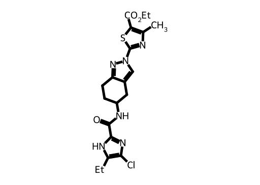 CCOC(=O)c1sc(-n2cc3c(n2)CCC(NC(=O)c2nc(Cl)c(CC)[nH]2)C3)nc1C